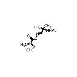 CC(=O)NC(C)(C)C=NOC(=O)N(C)SC(Cl)(Cl)Cl